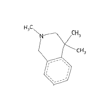 CN1Cc2c[c]ccc2C(C)(C)C1